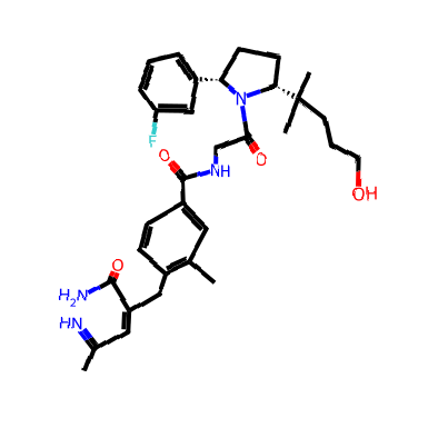 CC(=N)/C=C(/Cc1ccc(C(=O)NCC(=O)N2[C@H](c3cccc(F)c3)CC[C@@H]2C(C)(C)CCCO)cc1C)C(N)=O